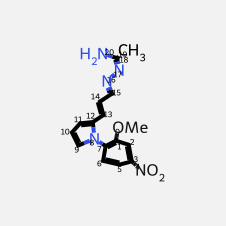 COc1cc([N+](=O)[O-])ccc1-n1cccc1/C=C/C=N/N=C(/C)N